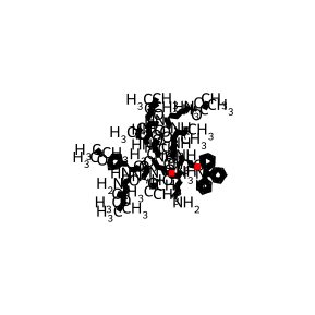 CC[C@H](C)[C@H](NC(=O)[C@H](CCCCNC(=O)OC(C)(C)C)NC(=O)[C@H](CC(=O)OC(C)(C)C)NC(=O)[C@H](CC(C)C)NC(=O)C(C)(C)NC(=O)[C@@H](NC(=O)[C@H](COC(C)(C)C)NC(=O)[C@H](Cc1ccc(OC(C)(C)C)cc1)NC(=O)[C@@H](N)CC(=O)OC(C)(C)C)[C@@H](C)CC)C(=O)N[C@@H](C)C(=O)N[C@@H](CCC(=O)NC(c1ccccc1)(c1ccccc1)c1ccccc1)C(=O)N[C@@H](CCCCN)C(=O)O